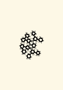 c1ccc(-c2cc(-c3ccccc3)cc(N3c4ccc(-c5ccccc5-c5ccccc5)cc4B4c5cc(-c6ccccc6-c6ccccc6)ccc5N(c5cc(-c6ccccc6)cc(-c6ccccc6)c5)c5cccc3c54)c2)cc1